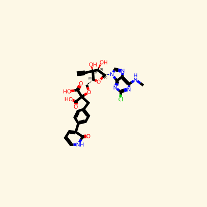 C#C[C@@]1(O)[C@@H](COC(Cc2ccc(-c3ccc[nH]c3=O)cc2)(C(=O)O)C(=O)O)O[C@@H](n2cnc3c(NC)nc(Cl)nc32)[C@@H]1O